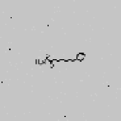 NC(=O)C(=O)CCCCCCc1ccccc1